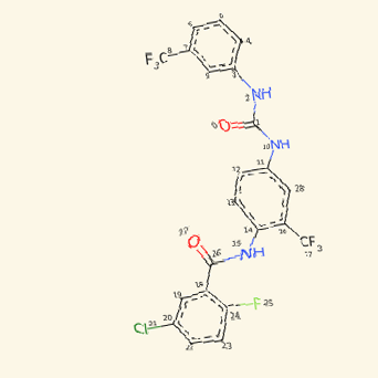 O=C(Nc1cccc(C(F)(F)F)c1)Nc1ccc(NC(=O)c2cc(Cl)ccc2F)c(C(F)(F)F)c1